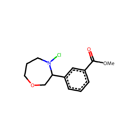 COC(=O)c1cccc(C2COCCCN2Cl)c1